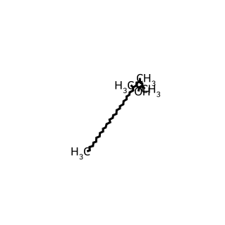 CCCCCCCCCCCCCCCCCCCCCCCCCCCCC(C)c1cc(C)cc(C)c1O